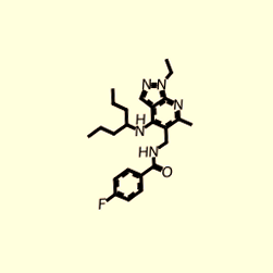 CCCC(CCC)Nc1c(CNC(=O)c2ccc(F)cc2)c(C)nc2c1cnn2CC